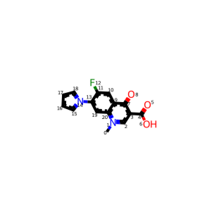 Cn1cc(C(=O)O)c(=O)c2cc(F)c(-n3cccc3)cc21